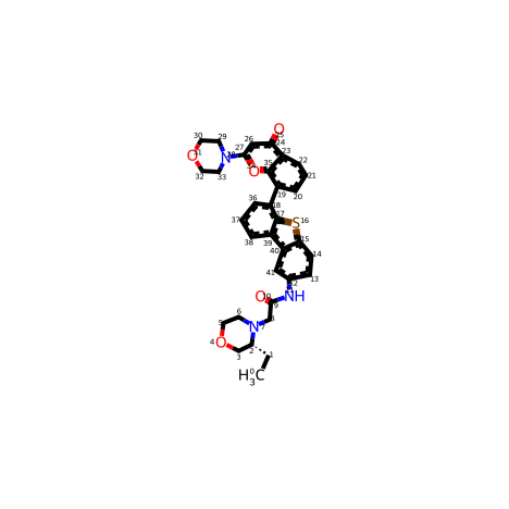 CC[C@@H]1COCCN1CC(=O)Nc1ccc2sc3c(-c4cccc5c(=O)cc(N6CCOCC6)oc45)cccc3c2c1